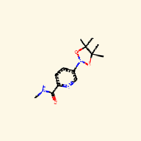 CNC(=O)c1ccc(N2OC(C)(C)C(C)(C)O2)cn1